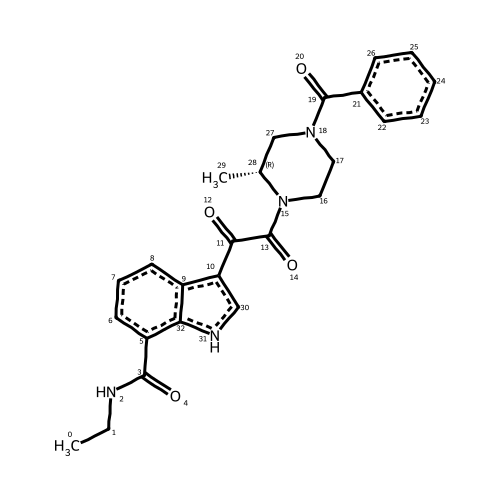 CCNC(=O)c1cccc2c(C(=O)C(=O)N3CCN(C(=O)c4ccccc4)C[C@H]3C)c[nH]c12